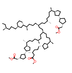 CC[C@H](C)CCC[C@H]1CCC[C@H]([C@H](C)CCC[C@@H](CC[C@@H](C)CCC[C@@H](C)[C@H]2CC[C@H](C3CC[C@H](CC(=O)OC)C3)C2)CC[C@@H](CCC[C@@H](C)[C@H]2CC[C@H](CCC[C@@H](C)CC(=O)OC)C2)CC[C@@H](C)CCC[C@@H](C)[C@H]2CC[C@H](C3CC[C@H](CC(=O)OC)C3)C2)C1